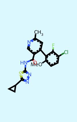 COc1ccc(Cl)c(F)c1-c1cc(C)ncc1C(=O)Nc1nnc(C2CC2)s1